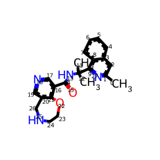 Cc1cc2ccccc2c(C(C)(C)NC(=O)c2cncc3c2OCCNC3)n1